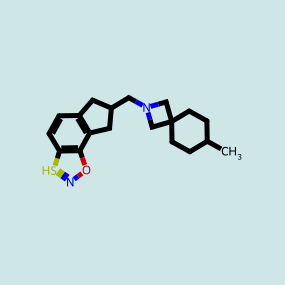 CC1CCC2(CC1)CN(CC1Cc3ccc4c(c3C1)ON=[SH]4)C2